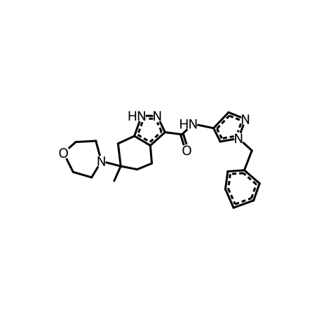 CC1(N2CCOCC2)CCc2c(C(=O)Nc3cnn(Cc4ccccc4)c3)n[nH]c2C1